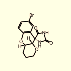 O=C1NC(=O)[C@]2(N1)c1cc(Br)ccc1O[C@H]1CCCO[C@H]12